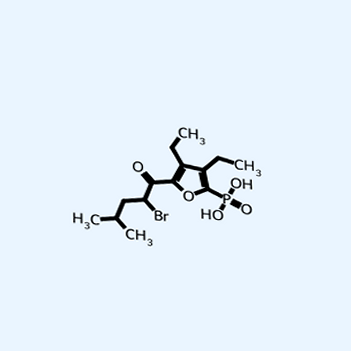 CCc1c(C(=O)C(Br)CC(C)C)oc(P(=O)(O)O)c1CC